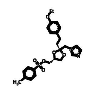 CCOc1ccc(CC[C@]2(Cn3ccnc3)OC[C@H](COS(=O)(=O)c3ccc(C)cc3)O2)cc1